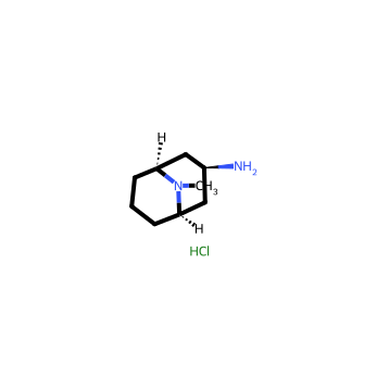 CN1[C@@H]2CCC[C@H]1C[C@@H](N)C2.Cl